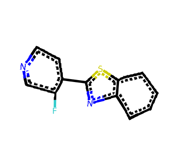 Fc1cnccc1-c1nc2ccccc2s1